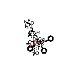 CC(=O)OC[C@@H](OC(C)=O)[C@@H](OC(C)=O)C(C)O[C@](CC(NC(=O)CNC(=O)C(F)(F)F)OC(C)=O)(OP(=O)(OCc1ccccc1)OCc1ccccc1)C(=O)OCc1ccccc1